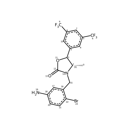 C[C@H]1C(c2cc(C(F)(F)F)cc(C(F)(F)F)c2)OC(=O)N1Cc1cc(N)ccc1Br